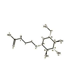 O=C(O)NCCO[C@@H]1O[C@H](CO)[C@@H](O)[C@H](O)[C@H]1O